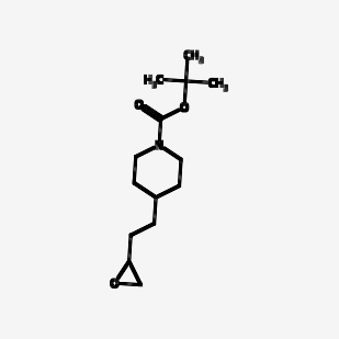 CC(C)(C)OC(=O)N1CCC(CCC2CO2)CC1